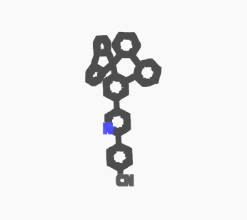 N#Cc1ccc(-c2ccc(-c3ccc4c(c3)-c3ccccc3-c3ccccc3C43c4ccccc4-c4ccccc43)cn2)cc1